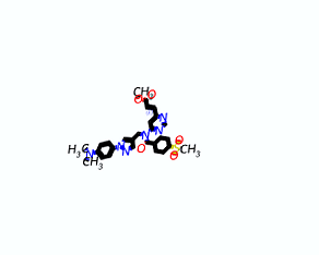 COC(=O)/C=C/c1cc(N(Cc2cnn(-c3ccc(N(C)C)cc3)c2)C(=O)C2CCC(S(C)(=O)=O)CC2)ncn1